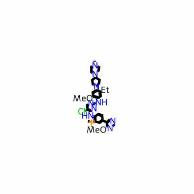 CCc1cc(Nc2ncc(Cl)c(Nc3ccc(-c4cncnc4OC)cc3P(C)C)n2)c(OC)cc1N1CCC(N2CCN(C)CC2)CC1